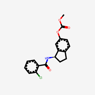 COC(=O)Oc1ccc2c(c1)[C@H](NC(=O)c1ccccc1Cl)CC2